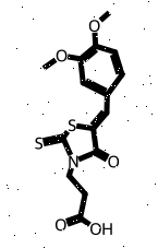 COc1ccc(/C=C2\SC(=S)N(CCC(=O)O)C2=O)cc1OC